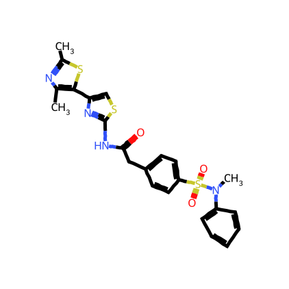 Cc1nc(C)c(-c2csc(NC(=O)Cc3ccc(S(=O)(=O)N(C)c4ccccc4)cc3)n2)s1